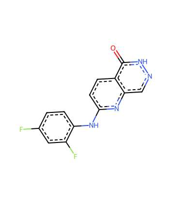 O=c1[nH]ncc2nc(Nc3ccc(F)cc3F)ccc12